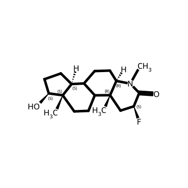 CN1C(=O)[C@@H](F)C[C@]2(C)C3CC[C@]4(C)[C@@H](O)CC[C@H]4C3CC[C@@H]12